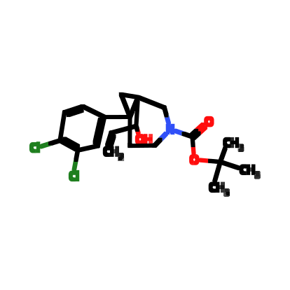 C=CC(O)C12CN(C(=O)OC(C)(C)C)CCC1(c1ccc(Cl)c(Cl)c1)C2